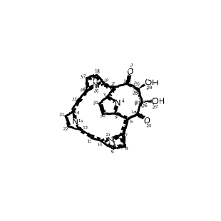 O=C1c2c3nc(c(c4ccc(cc5nc(cc6ccc2[nH]6)C=C5)[nH]4)C(=O)[C@H](O)[C@@H]1O)C=C3